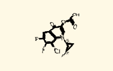 O=C(O)Oc1cn([C@H]2C[C@H]2F)c2c(Cl)c(F)c(F)cc2c1=O